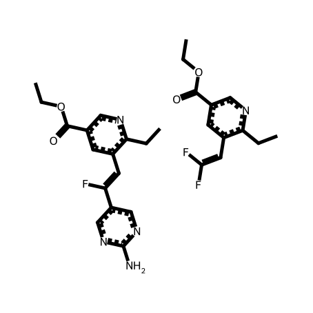 CCOC(=O)c1cnc(CC)c(/C=C(\F)c2cnc(N)nc2)c1.CCOC(=O)c1cnc(CC)c(C=C(F)F)c1